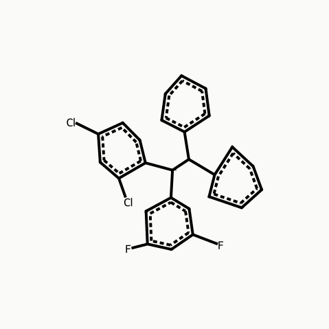 Fc1cc(F)cc([C](c2ccc(Cl)cc2Cl)C(c2ccccc2)c2ccccc2)c1